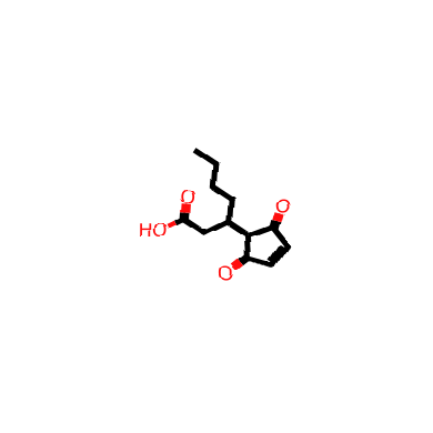 CCCCC(CC(=O)O)C1C(=O)C=CC1=O